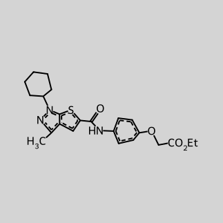 CCOC(=O)COc1ccc(NC(=O)c2cc3c(C)nn(C4CCCCC4)c3s2)cc1